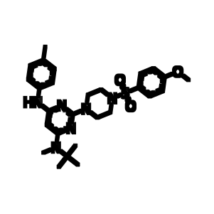 COc1ccc(S(=O)(=O)N2CCN(c3nc(Nc4ccc(C)cc4)cc(N(C)C(C)(C)C)n3)CC2)cc1